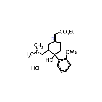 CCOC(=O)/C=C1\CCC(O)(c2ccccc2OC)C(CN(C)C)C1.Cl